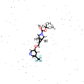 CC(C)(C)OC(=O)N1C[C@@H]2C(COc3cncc(C(F)(F)F)c3)[C@@H]2C1